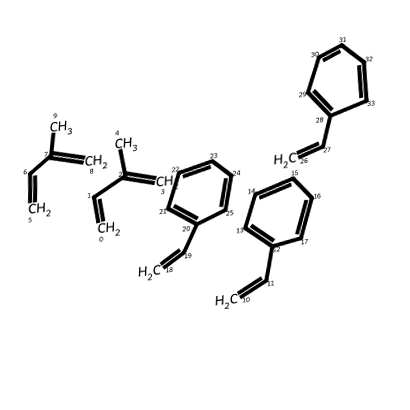 C=CC(=C)C.C=CC(=C)C.C=Cc1ccccc1.C=Cc1ccccc1.C=Cc1ccccc1